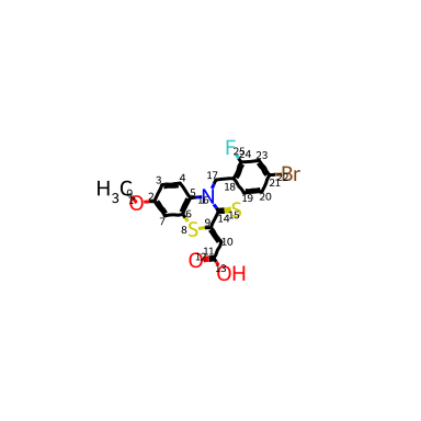 COc1ccc2c(c1)S/C(=C\C(=O)O)C(=S)N2Cc1ccc(Br)cc1F